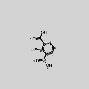 O=C(O)c1cccc(S(=O)O)c1F